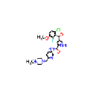 COc1ccc(Cl)c(C(=O)c2c[nH]c(C(=O)Nc3ccc(CN4CCN(C)CC4)nc3)c2)c1F